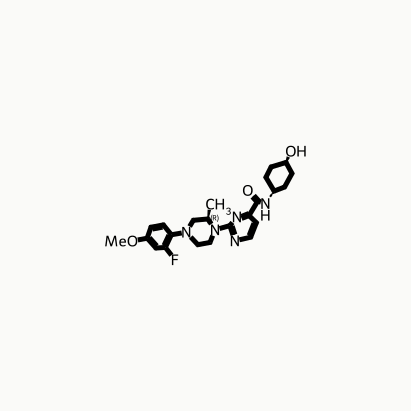 COc1ccc(N2CCN(c3nccc(C(=O)N[C@H]4CC[C@H](O)CC4)n3)[C@H](C)C2)c(F)c1